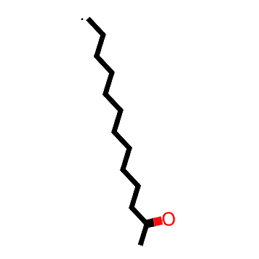 [CH2]CCCCCCCCCCC(C)=O